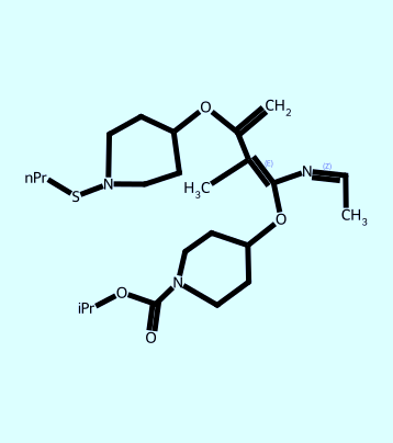 C=C(OC1CCN(SCCC)CC1)/C(C)=C(\N=C/C)OC1CCN(C(=O)OC(C)C)CC1